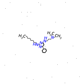 CCCCCCCCNc1nc(NCCCN(CC)CC)cc(-c2ccccc2)n1